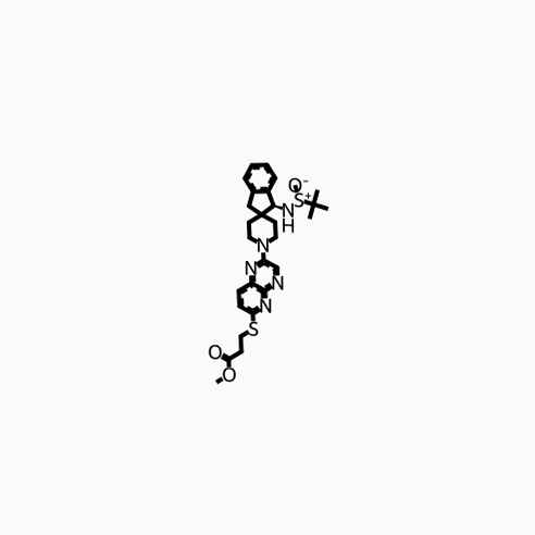 COC(=O)CCSc1ccc2nc(N3CCC4(CC3)Cc3ccccc3[C@H]4N[S+]([O-])C(C)(C)C)cnc2n1